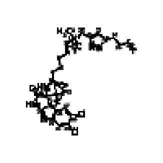 C[N+](C)(CCCCCC(=O)NC1(C(F)(F)F)C(=O)Nc2nc3cc(Cl)c(Cl)cc3n21)Cc1cn(CCSF)nn1